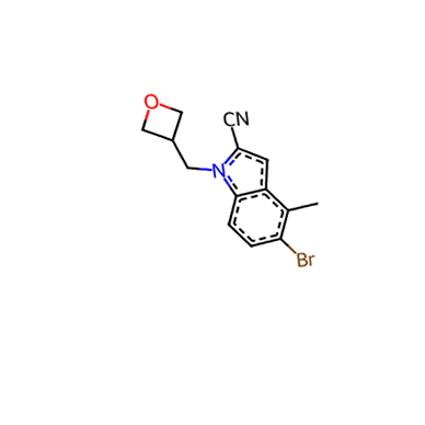 Cc1c(Br)ccc2c1cc(C#N)n2CC1COC1